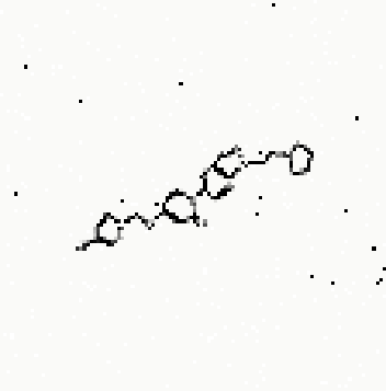 O=c1cc(OCc2ccc(Cl)cn2)ccn1-c1ccc2c(cnn2CCN2CCCC2)c1